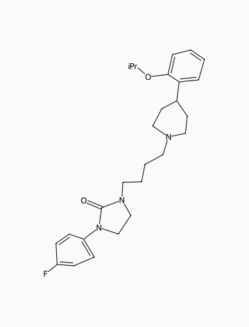 CC(C)Oc1ccccc1C1CCN(CCCCN2CCN(c3ccc(F)cc3)C2=O)CC1